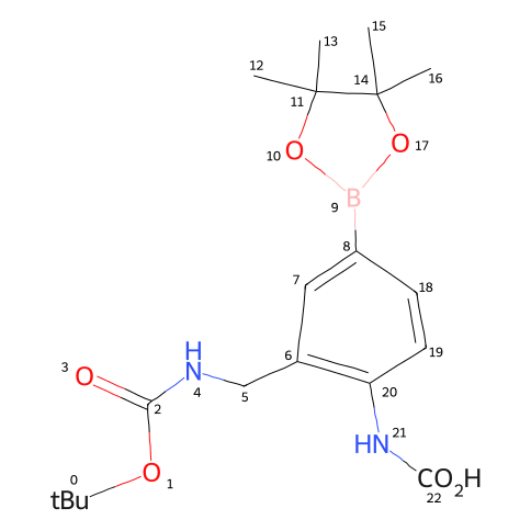 CC(C)(C)OC(=O)NCc1cc(B2OC(C)(C)C(C)(C)O2)ccc1NC(=O)O